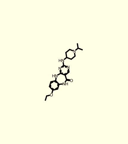 CCOc1ccc2c(c1)NC(=O)c1cnc(NC3CCN(C(C)C)CC3)nc1N2